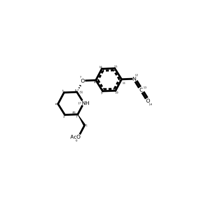 CC(=O)OC[C@H]1CCC[C@H](Oc2ccc(N=C=O)cc2)N1